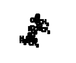 Cc1cc(C(F)(F)F)nc(-c2ccnc3cc(CN4C(=O)C(C)C(C)(C)C4=O)sc23)c1CN1CCOCC1=O